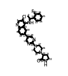 CC(Nc1c(Cl)cnc2ccc(-c3cnc(N4CCN(C5CCNC5=O)CC4)nc3)cc12)c1ccccc1F